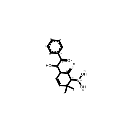 CC1(C)C=[C]C(C(O)C(=O)c2ccccc2)C(=O)C1B(O)O